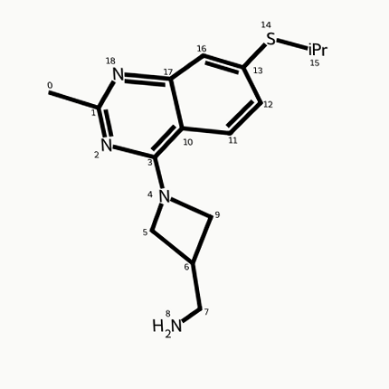 Cc1nc(N2CC(CN)C2)c2ccc(SC(C)C)cc2n1